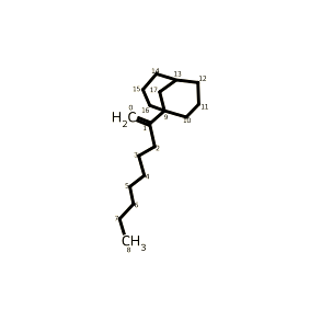 C=C(CCCCCCC)C12CCCC(CCC1)C2